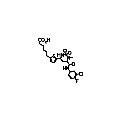 CN1C(C(=O)Nc2ccc(F)c(Cl)c2)CC(c2ccc(CCCCCC(=O)O)s2)NS1(=O)=O